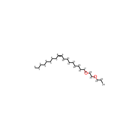 CCCCCCCC/C=C\CCCCCCCCOCCOCCC